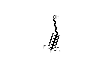 OCCCCCCC(F)(F)C(F)(F)C(F)(F)C(F)(F)C(F)(C(F)(F)F)C(F)(F)F